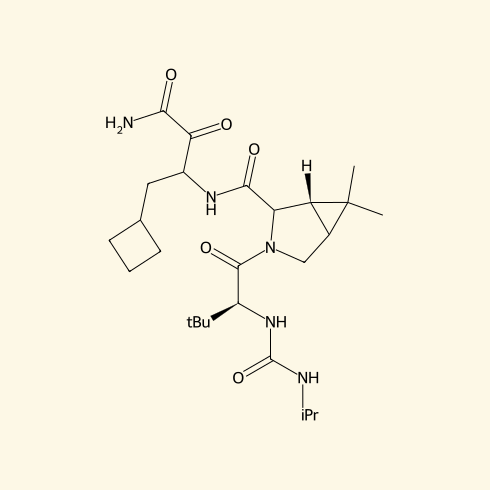 CC(C)NC(=O)N[C@H](C(=O)N1CC2[C@H](C1C(=O)NC(CC1CCC1)C(=O)C(N)=O)C2(C)C)C(C)(C)C